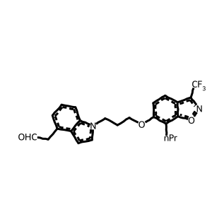 CCCc1c(OCCCn2ccc3c(CC=O)cccc32)ccc2c(C(F)(F)F)noc12